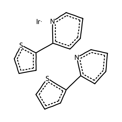 [Ir].c1ccc(-c2cccs2)nc1.c1ccc(-c2cccs2)nc1